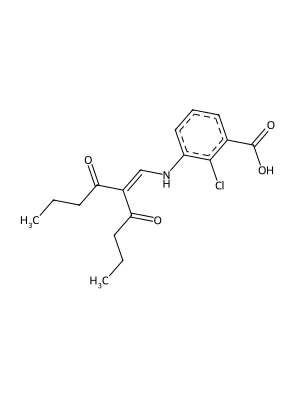 CCCC(=O)C(=CNc1cccc(C(=O)O)c1Cl)C(=O)CCC